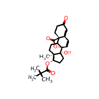 CC(C)(C)C(=O)O[C@H]1CC[C@]2(O)[C@@]34C=CC5=CC(=O)CC[C@]5(C(=O)O3)C4CC[C@]12C